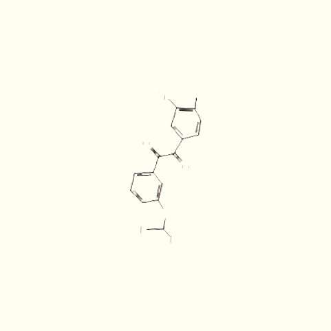 O=C(C(=O)c1ccc(F)c(Br)c1)c1cccc(OC(F)F)c1